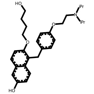 CC(C)N(CCOc1ccc(Cc2c(OCCCCO)ccc3cc(O)ccc23)cc1)C(C)C